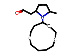 CC1CCC(CC=O)N1C1CCCCCCCCCC1